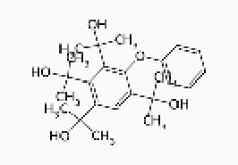 CC(C)(O)c1cc(C(C)(C)O)c(C(C)(C)O)c(C(C)(C)O)c1Oc1ccccc1